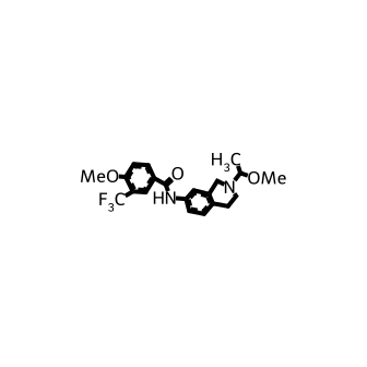 COc1ccc(C(=O)Nc2ccc3c(c2)CN(C(C)OC)CC3)cc1C(F)(F)F